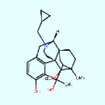 COC12CC[C@]3(CC1C(C)(O)C(C)(C)C)[C@H]1Cc4ccc(O)c5c4[C@@]3(CCN1CC1CC1)C2O5